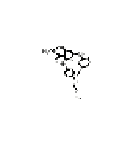 CCOCCOc1ccc(Nc2nc(Nc3cc(C)ccn3)cc3ccn(C)c(=O)c23)cc1